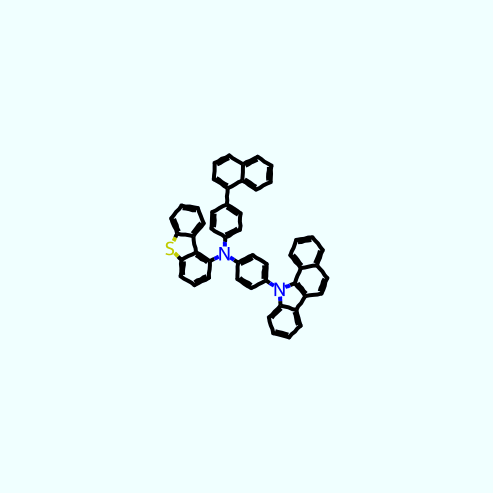 c1ccc2c(-c3ccc(N(c4ccc(-n5c6ccccc6c6ccc7ccccc7c65)cc4)c4cccc5sc6ccccc6c45)cc3)cccc2c1